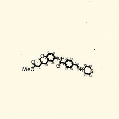 COC(=O)CC1COc2ccc(NC(=O)c3ccc(/C=N/N4CCSCC4)cc3)cc2C1